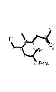 CCCCC[C@@H](CC(CF)N(C)CCC(C)O)C(C)C